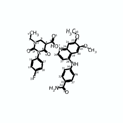 CCN1CC(C(=O)O)C(=O)N(c2ccc(F)cc2)C1=O.COc1cc2nccc(Nc3ccc(C(N)=O)cc3)c2cc1OC